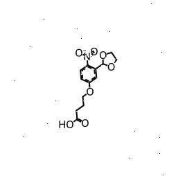 O=C(O)CCCOc1ccc([N+](=O)[O-])c(C2OCCO2)c1